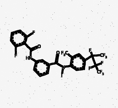 O=C(Nc1cccc(C(=O)N(I)c2ccc(C(F)(C(F)(F)F)C(F)(F)C(F)(F)F)cc2C(F)(F)F)c1)c1c(F)cccc1F